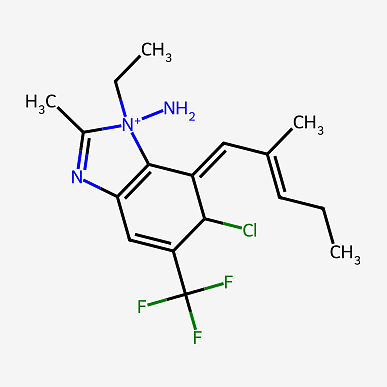 CCC=C(C)C=C1C2=C(C=C(C(F)(F)F)C1Cl)N=C(C)[N+]2(N)CC